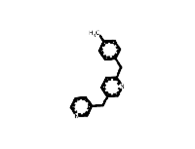 Cc1ccc(Cc2ccc(Cc3cccnc3)cn2)cc1